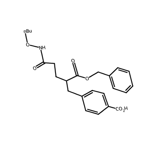 CCCCONC(=O)CCC(Cc1ccc(C(=O)O)cc1)C(=O)OCc1ccccc1